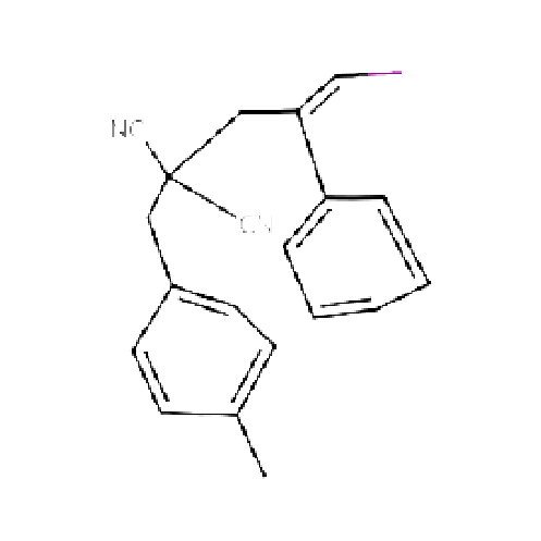 Cc1ccc(CC(C#N)(C#N)CC(=CI)c2ccccc2)cc1